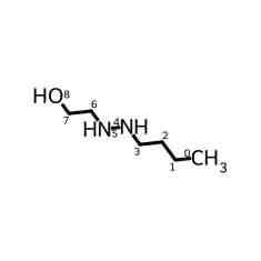 CCCCNNCCO